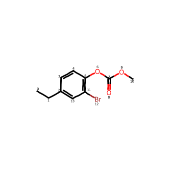 CCc1ccc(OC(=O)OC)c(Br)c1